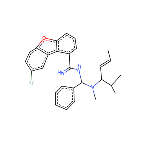 CC=CC(C(C)C)N(C)C(NC(=N)c1cccc2oc3ccc(Cl)cc3c12)c1ccccc1